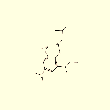 CCC(C)c1cc([N+](=O)[O-])cc([N+](=O)[O-])c1NC(=O)OC(C)C